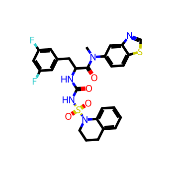 CN(C(=O)C(Cc1cc(F)cc(F)c1)NC(=O)NS(=O)(=O)N1CCCc2ccccc21)c1ccc2scnc2c1